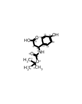 CC(C)(C)OC(=O)NC(CC(=O)O)c1ccc(O)cc1